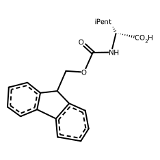 CCC[C@@H](C)[C@@H](NC(=O)OCC1c2ccccc2-c2ccccc21)C(=O)O